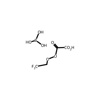 O=C(O)C(=O)OOCC(F)(F)F.OB(O)O